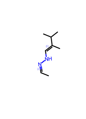 C/C=N\N/C=C(\C)C(C)C